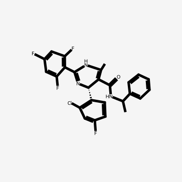 CC1=C(C(=O)NC(C)c2ccccc2)[C@H](c2ccc(F)cc2Cl)N=C(c2c(F)cc(F)cc2F)N1